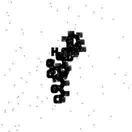 CC1(OC(=O)C2C3CC4C(OC(=O)C42)C3CC(=O)CCl)C2CC3CC(C2)CC1C3